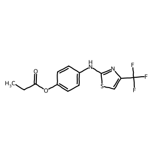 CCC(=O)Oc1ccc(Nc2nc(C(F)(F)F)cs2)cc1